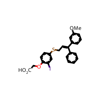 COc1cccc(C(=CCSc2ccc(OCC(=O)O)c(I)c2)c2ccccc2)c1